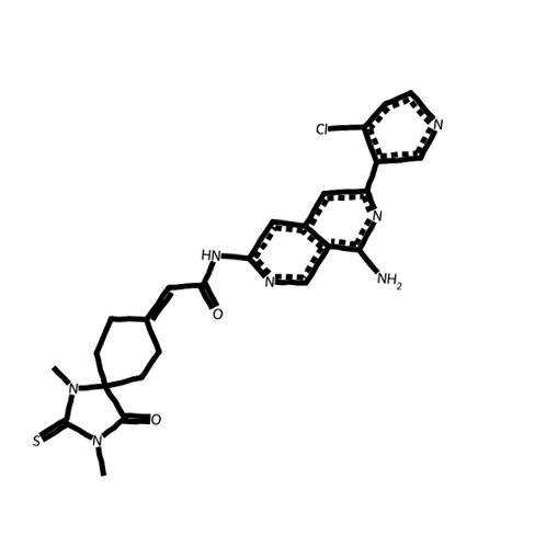 CN1C(=O)C2(CCC(=CC(=O)Nc3cc4cc(-c5cnccc5Cl)nc(N)c4cn3)CC2)N(C)C1=S